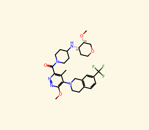 COc1nnc(C(=O)N2CCC(N[C@H]3CCOC[C@H]3OC)CC2)c(C)c1N1CCc2ccc(C(F)(F)F)cc2C1